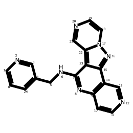 c1cncc(CNc2nc3ccncc3c3nn4ccncc4c23)c1